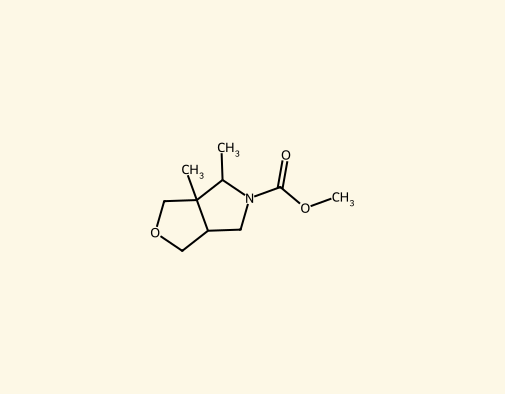 COC(=O)N1CC2COCC2(C)C1C